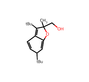 CC(C)(C)C1=C2C=CC(C(C)(C)C)C=C2OC1(C)CO